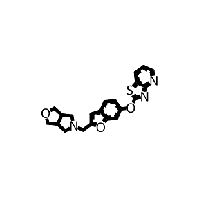 c1cnc2nc(Oc3ccc4cc(CN5CC6COCC6C5)oc4c3)sc2c1